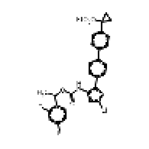 CCOC(=O)C1(c2ccc(-c3ccc(-c4sc(Cl)cc4NC(=O)O[C@H](C)c4ccc(F)cc4F)cc3)cc2)CC1